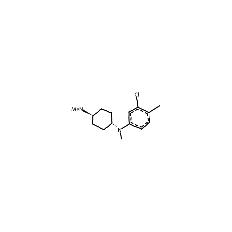 CN[C@H]1CC[C@H](N(C)c2ccc(C)c(Cl)c2)CC1